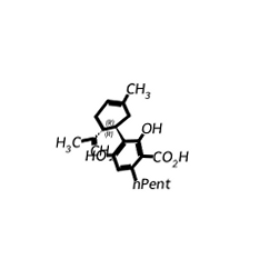 C=C(C)[C@@H]1CC=C(C)C[C@H]1c1c(O)cc(CCCCC)c(C(=O)O)c1O